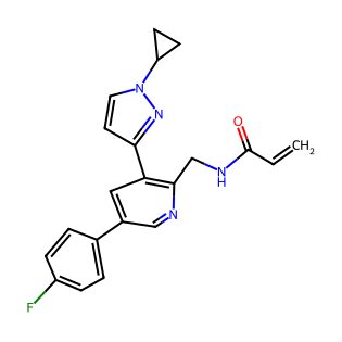 C=CC(=O)NCc1ncc(-c2ccc(F)cc2)cc1-c1ccn(C2CC2)n1